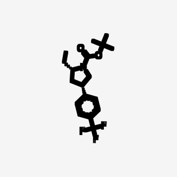 CC[C@H]1C[C@@H](c2ccc(C(F)(F)F)cc2)CN1C(=O)OC(C)(C)C